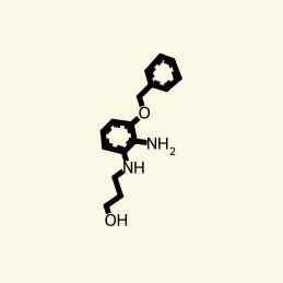 Nc1c(NCCCO)cccc1OCc1ccccc1